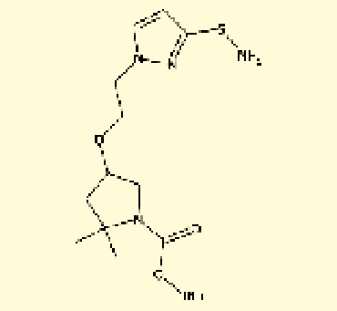 CC(C)(C)OC(=O)N1CC(OCCn2ccc(SN)n2)CC1(C)C